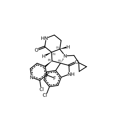 O=C1NCC[C@H]2[C@@H]1[C@H](c1ccnc(Cl)c1F)[C@]1(C(=O)Nc3cc(Cl)ccc31)N2CC1CC1